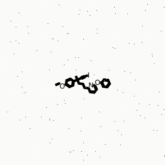 CCOc1ccc(C(C)(C#CI)CCCc2cccc(Oc3ccccc3)n2)cc1